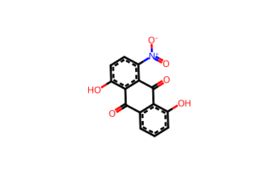 O=C1c2cccc(O)c2C(=O)c2c([N+](=O)[O-])ccc(O)c21